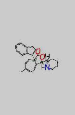 CC1=CC=C2[C@@](C3=CCc4ccccc43)(C=C1)C(=O)O[C@]21CN2CCCC[C@H]21